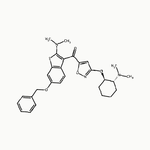 CN(C)c1sc2cc(OCc3ccccc3)ccc2c1C(=O)c1cc(O[C@@H]2CCCC[C@H]2N(C)C)no1